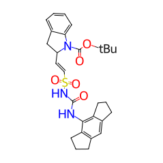 CC(C)(C)OC(=O)N1c2ccccc2CC1/C=C/S(=O)(=O)NC(=O)Nc1c2c(cc3c1CCC3)CCC2